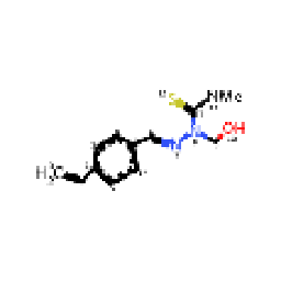 C=Cc1ccc(C=NN(CO)C(=S)NC)cc1